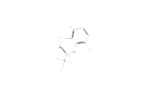 CC(C)(C)C1=[C]Oc2cccc(F)c2O1